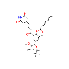 C=CCC=CCC(=O)O[C@@H](/C(C)=C\C(C)C(O[Si](C)(C)C(C)(C)C)[C@H](C=C)OC)[C@H](C)C(=O)CCCC1CC(=O)NC(=O)C1